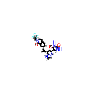 O=c1[nH]cc(-c2cc([C@H]3C[C@@H]3c3ccc4ccn(CC(F)(F)F)c(=O)c4c3)c3nccn3n2)c(=O)[nH]1